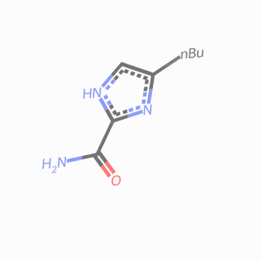 CCCCc1c[nH]c(C(N)=O)n1